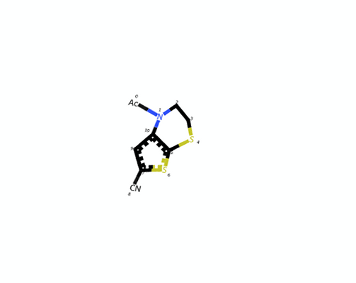 CC(=O)N1CCSc2sc(C#N)cc21